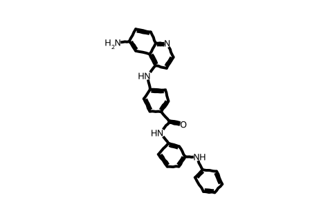 Nc1ccc2nccc(Nc3ccc(C(=O)Nc4cccc(Nc5ccccc5)c4)cc3)c2c1